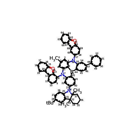 Cc1cc2c3c(c1)N(c1cccc4c1oc1ccccc14)c1cc(N4c5ccc(C(C)(C)C)cc5C5(C)CCCCC45C)ccc1B3c1ccc(-c3ccccc3)cc1N2c1ccc2oc3ccccc3c2c1